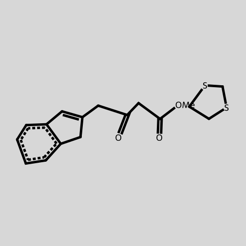 C1CSCS1.COC(=O)CC(=O)CC1=Cc2ccccc2C1